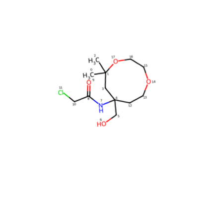 CC1(C)CC(CO)(NC(=O)CCl)CCOCCO1